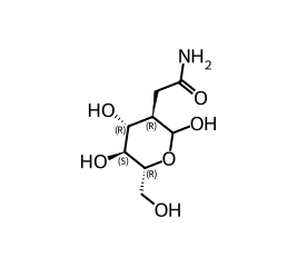 NC(=O)C[C@H]1C(O)O[C@H](CO)[C@@H](O)[C@@H]1O